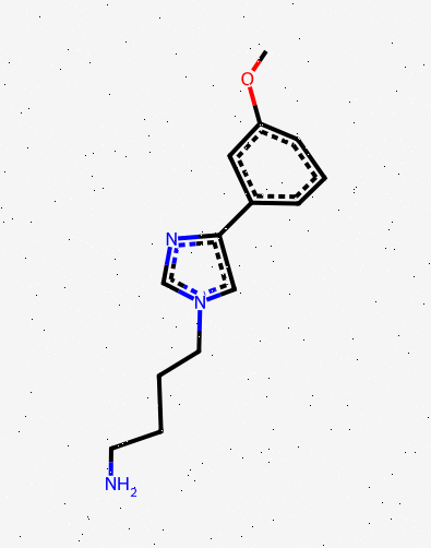 COc1cccc(-c2cn(CCCCN)cn2)c1